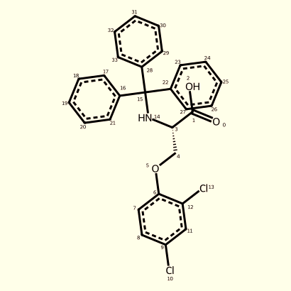 O=C(O)[C@H](COc1ccc(Cl)cc1Cl)NC(c1ccccc1)(c1ccccc1)c1ccccc1